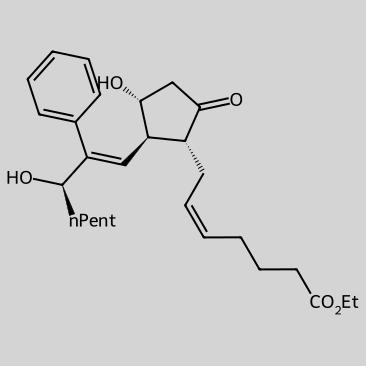 CCCCC[C@@H](O)/C(=C/[C@H]1[C@H](O)CC(=O)[C@@H]1C/C=C\CCCC(=O)OCC)c1ccccc1